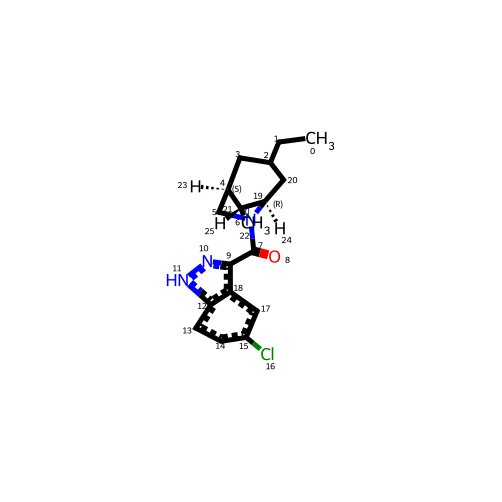 CCC1C[C@@H]2CN(C(=O)c3n[nH]c4ccc(Cl)cc34)[C@H](C1)[C@@H]2C